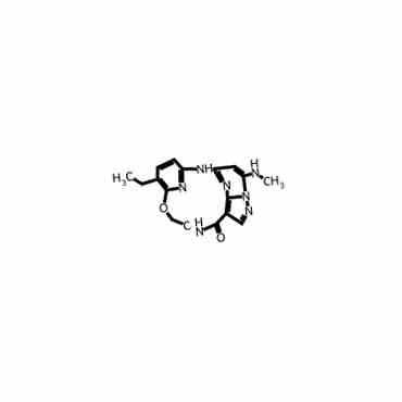 CCc1ccc2nc1OCCNC(=O)c1cnn3c(NC)cc(nc13)N2